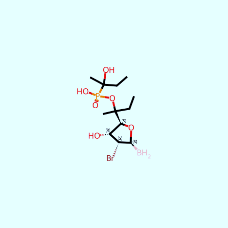 B[C@@H]1O[C@H](C(C)(CC)OP(=O)(O)C(C)(O)CC)[C@@H](O)[C@H]1Br